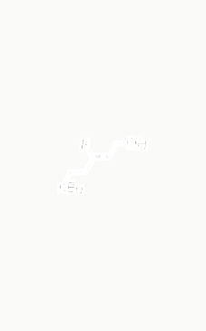 CCCCCCC(F)=CCO